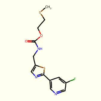 CSCCOC(=O)NCc1cnc(-c2cncc(F)c2)s1